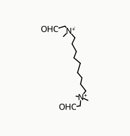 C[N+](C)(CC=O)CCCCCCCCC[N+](C)(C)CC=O